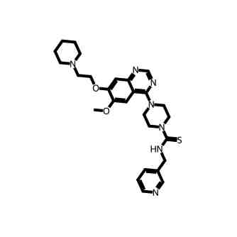 COc1cc2c(N3CCN(C(=S)NCc4cccnc4)CC3)ncnc2cc1OCCN1CCCCC1